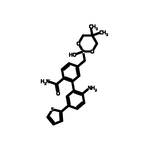 CC1(C)CO[P](O)(Cc2ccc(C(N)=O)c(-c3cc(-c4cccs4)ccc3N)c2)OC1